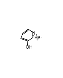 Br.CC.Oc1cccnc1